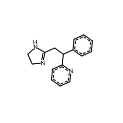 c1ccc(C(CC2=NCCN2)c2ccccn2)cc1